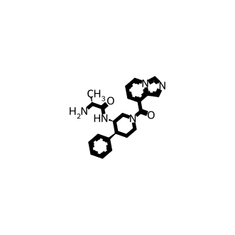 C[C@@H](N)C(=O)N[C@@H]1CN(C(=O)c2cccn3cncc23)CC[C@H]1c1ccccc1